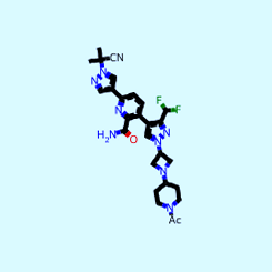 CC(=O)N1CCC(N2CC(n3cc(-c4ccc(-c5cnn(C(C)(C)C#N)c5)nc4C(N)=O)c(C(F)F)n3)C2)CC1